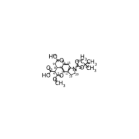 COC(=O)C(C(=O)O)C(CC(=O)O)c1ccc2c(c1)CCN2C(=O)OC(C)(C)C